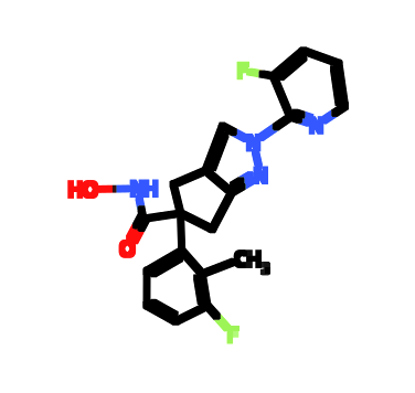 Cc1c(F)cccc1C1(C(=O)NO)Cc2cn(-c3ncccc3F)nc2C1